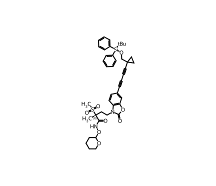 CC(C)(C)[Si](OCC1(C#CC#Cc2ccc3c(c2)oc(=O)n3CC[C@](C)(C(=O)NOC2CCCCO2)S(C)(=O)=O)CC1)(c1ccccc1)c1ccccc1